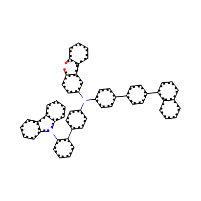 c1ccc(-n2c3ccccc3c3ccccc32)c(-c2ccc(N(c3ccc(-c4ccc(-c5cccc6ccccc56)cc4)cc3)c3ccc4oc5ccccc5c4c3)cc2)c1